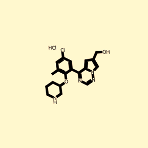 Cc1cc(Cl)cc(-c2ncnn3cc(CO)cc23)c1OC1CCCNC1.Cl